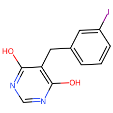 Oc1ncnc(O)c1Cc1cccc(I)c1